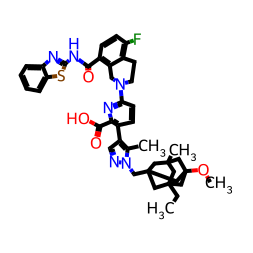 CCC12CC3(C)CC(Cn4ncc(-c5ccc(N6CCc7c(F)ccc(C(=O)Nc8nc9ccccc9s8)c7C6)nc5C(=O)O)c4C)(C1)CC(OC)(C3)C2